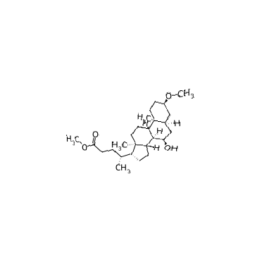 COC(=O)CC[C@@H](C)[C@H]1CC[C@H]2[C@@H]3[C@H](O)C[C@@H]4C[C@H](OC)CC[C@]4(C)[C@H]3CC[C@]12C